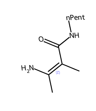 CCCCCNC(=O)/C(C)=C(/C)N